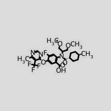 COCC(COC)N(c1cc(F)c(Oc2ncnc(C)c2C(F)(F)F)cc1C(=O)O)C(=O)[C@H]1CC[C@H](C)CC1